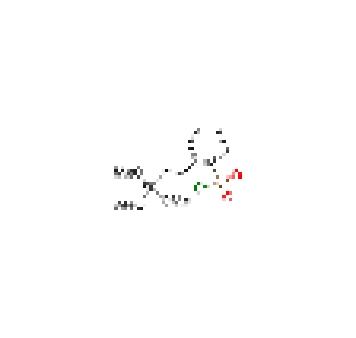 CO[Si](CCc1ccccc1S(=O)(=O)Cl)(OC)OC